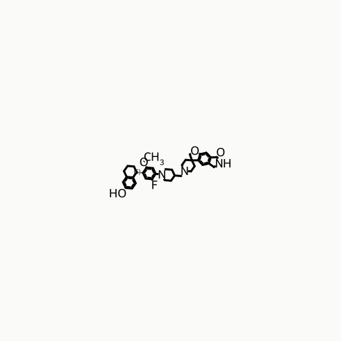 COc1cc(N2CCC(CN3CCC4(CC3)COc3cc5c(cc34)CNC5=O)CC2)c(F)cc1[C@H]1CCCc2cc(O)ccc21